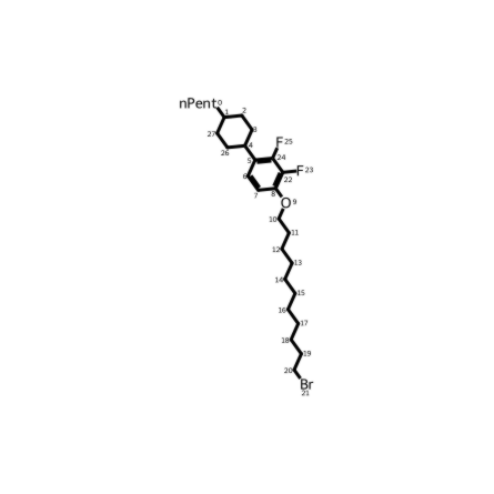 CCCCCC1CCC(c2ccc(OCCCCCCCCCCCBr)c(F)c2F)CC1